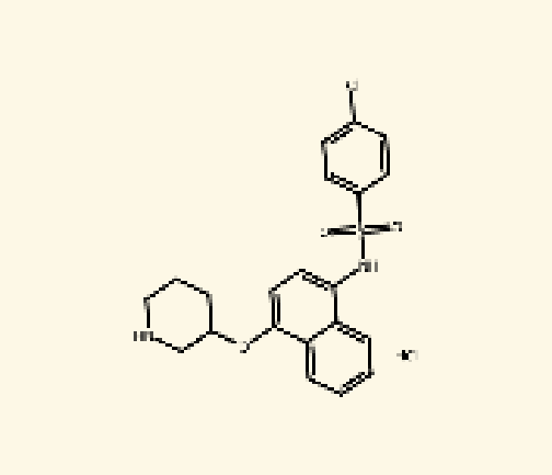 Cl.O=S(=O)(Nc1ccc(OC2CCCNC2)c2ccccc12)c1ccc(Cl)cc1